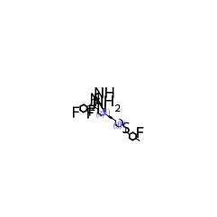 C=N/C=C(C#CC/C=C\C(=C/C)SCc1ccc(C)c(F)c1)\C=C/CC(F)(F)C(CN(N)C=N)c1ccc(F)cc1F